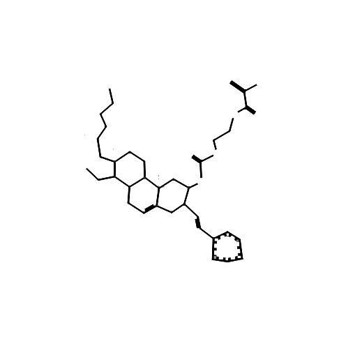 C=C(C)C(=O)OCCOC(=O)OC1C[C@@]2(C)C(=CCC3C2CC[C@@]2(C)C3CC[C@@H]2[C@H](C)CCCC(C)C)CC1C=Cc1ccccc1